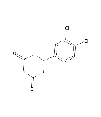 O=C1CC(=O)CC(c2ccc(Cl)c(Cl)c2)C1